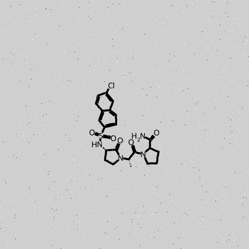 C[C@@H](C(=O)N1CCCC1C(N)=O)N1CC[C@H](NS(=O)(=O)c2ccc3cc(Cl)ccc3c2)C1=O